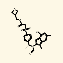 Cc1cc(Cl)c2cc(N(C=O)[C@H](C)c3ccc(S(=O)(=O)CC(=O)OCC4COC4)cc3)n(C)c2c1